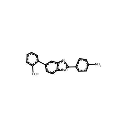 Nc1ccc(-c2nc3cc(-c4ccccc4C=O)ccc3[nH]2)cc1